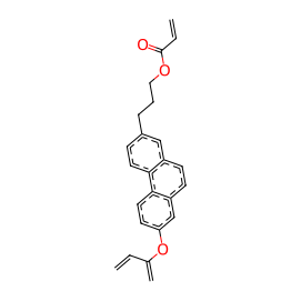 C=CC(=C)Oc1ccc2c(ccc3cc(CCCOC(=O)C=C)ccc32)c1